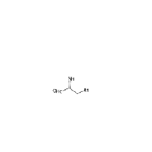 CCCC(=N)[C]=O